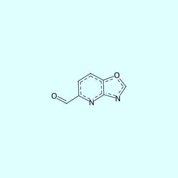 O=Cc1ccc2ocnc2n1